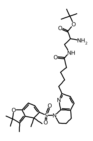 CC1=C2C(=CC=C(S(=O)(=O)N3CCCc4ccc(CCCCC(=O)NCC(N)C(=O)OC(C)(C)C)nc43)C2(C)C)OC1(C)C